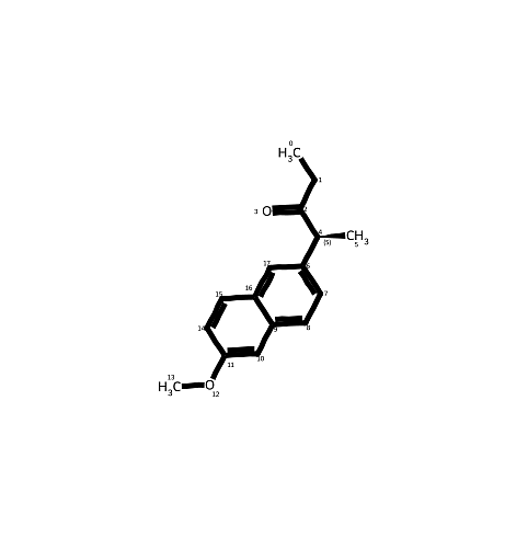 CCC(=O)[C@@H](C)c1ccc2cc(OC)ccc2c1